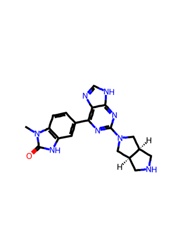 Cn1c(=O)[nH]c2cc(-c3nc(N4C[C@H]5CNC[C@H]5C4)nc4[nH]cnc34)ccc21